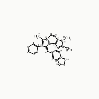 CC1=C(c2ccccc2)C(=Cc2ccc3c(c2)OCO3)c2c3nc(C)n(C)c3cc[n+]21